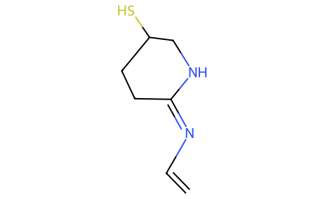 C=C/N=C1\CCC(S)CN1